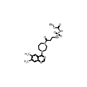 Cc1cc2ncnc(N3CCCN(C(=O)CCNS(=O)(=O)NC(=O)OC(C)(C)C)CC3)c2cc1C